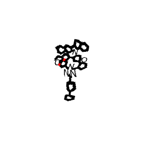 c1ccc(-c2ccc(-c3nc(-c4ccccc4)nc(-c4cccc5oc6cc(-n7c8cc9ccccc9cc8c8ccc9ccccc9c87)c(-c7ccc8ccccc8c7)cc6c45)n3)cc2)cc1